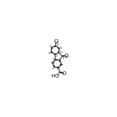 O=C(O)c1ccc2c(c1)C(=O)c1cc(Cl)ccc1-2